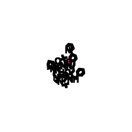 CC(C)(C)C(NC(=O)O)C(=O)NC(Cc1ccc(-c2ccccn2)cc1)CC(O)C(Cc1ccccc1)NC(=O)[C@@H](N1CCN(Cc2ncc3ccccn23)C1=O)C(C)(C)C